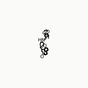 COc1ccc2ccc(=O)n3c2c1C(CN1CCC(NCc2cc4c(cn2)OCCO4)CC1)C3